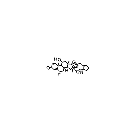 C[C@]12C=CC(=O)C=C1[C@@H](F)C[C@@H]1C2[C@@H](O)C[C@@]2(C)C1C[C@H]1CN(CC3=CCCC3=O)O[C@]12C(=O)CO